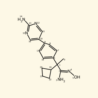 CC(/C(N)=N/O)(c1ccc(-c2cnc(N)nc2)cc1)C1CCC1